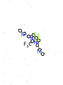 Fc1c(F)c(F)c(-c2c(-n3c4ccccc4c4cc(-c5ccc(-c6ccccc6)nc5)ccc43)cc(C(F)(F)F)cc2-n2c3ccccc3c3cc(-c4ccc(-c5ccccc5)nc4)ccc32)c(F)c1F